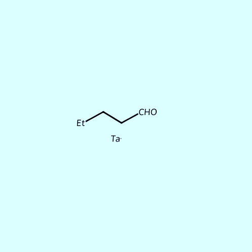 CCCCC=O.[Ta]